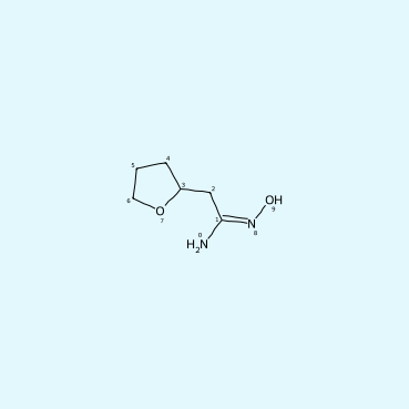 N/C(CC1CCCO1)=N/O